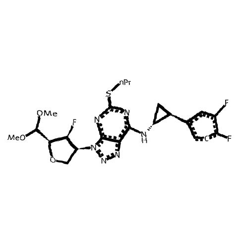 CCCSc1nc(N[C@@H]2C[C@H]2c2ccc(F)c(F)c2)c2nnn([C@H]3CO[C@@H](C(OC)OC)[C@H]3F)c2n1